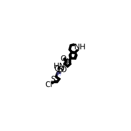 O=C1[C@@H](NS(=O)(=O)/C=C/C2CC=C(Cl)S2)CCN1c1ccc2c(c1)CCCNC2